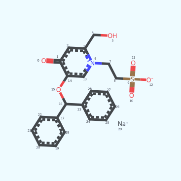 O=c1cc(CO)n(CCS(=O)(=O)[O-])cc1OC(c1ccccc1)c1ccccc1.[Na+]